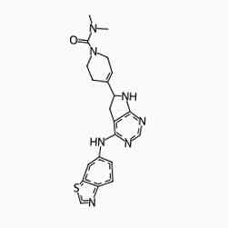 CN(C)C(=O)N1CC=C(C2Cc3c(Nc4ccc5ncsc5c4)ncnc3N2)CC1